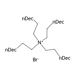 CCCCCCCCCCCC[N+](CCCCCCCCCCCC)(CCCCCCCCCCCC)CCCCCCCCCCCC.[Br-]